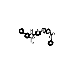 Nc1ccc(-c2ccccc2)cc1NC(=O)c1ccc(N2CCC3(CCN(C(=O)OCc4ccccc4)C3)C2)nc1